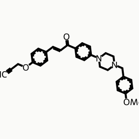 C#CCOc1ccc(/C=C/C(=O)c2ccc(N3CCN(Cc4ccc(OC)cc4)CC3)cc2)cc1